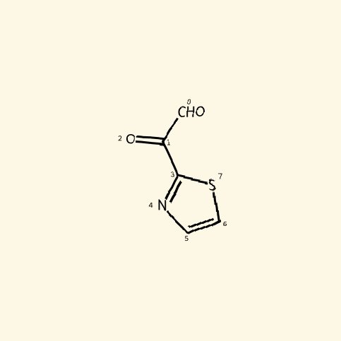 O=CC(=O)c1nccs1